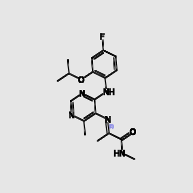 CNC(=O)/C(C)=N/c1c(C)ncnc1Nc1ccc(F)cc1OC(C)C